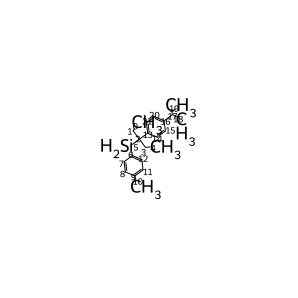 CCC(CC)([SiH2]c1ccc(C)cc1)c1ccc(C(C)C)cc1